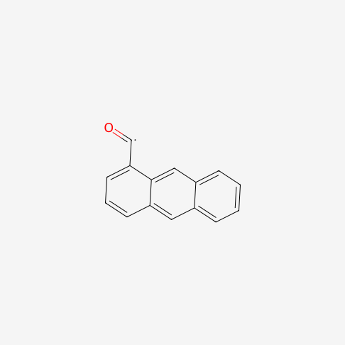 O=[C]c1cccc2cc3ccccc3cc12